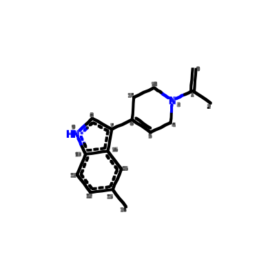 C=C(C)N1CC=C(c2c[nH]c3ccc(C)cc23)CC1